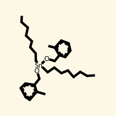 CCCCCCC[CH2][Sn]([CH2]CCCCCCC)([O]Cc1ccccc1C)[O]Cc1ccccc1C